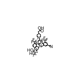 CC[C@@H]1C[C@H](N(Cc2cc(C#N)cc(C(F)(F)F)c2)c2ncc(N3CCC(CC(=O)O)CC3)cn2)c2cc(C(F)(F)F)ccc2N1C(=O)O